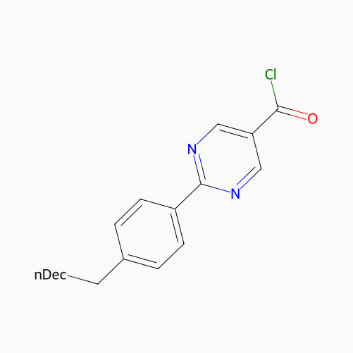 CCCCCCCCCCCc1ccc(-c2ncc(C(=O)Cl)cn2)cc1